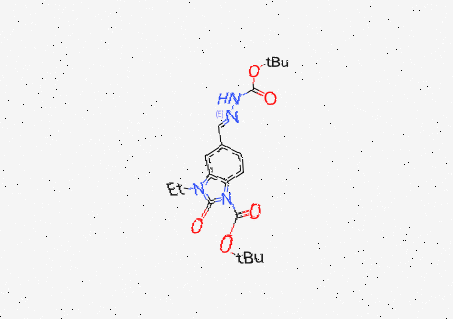 CCn1c(=O)n(C(=O)OC(C)(C)C)c2ccc(/C=N/NC(=O)OC(C)(C)C)cc21